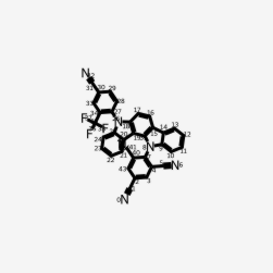 N#Cc1cc(C#N)c(-n2c3ccccc3c3ccc4c(c5ccccc5n4-c4ccc(C#N)cc4C(F)(F)F)c32)c(C#N)c1